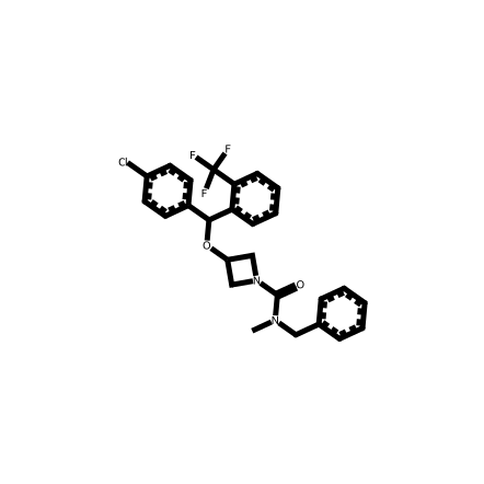 CN(Cc1ccccc1)C(=O)N1CC(OC(c2ccc(Cl)cc2)c2ccccc2C(F)(F)F)C1